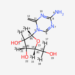 [2H]C1(O)[C@]([2H])(N2C=NC(N)=NC2=C)O[C@]([2H])(C([2H])([2H])O)[C@]1([2H])O